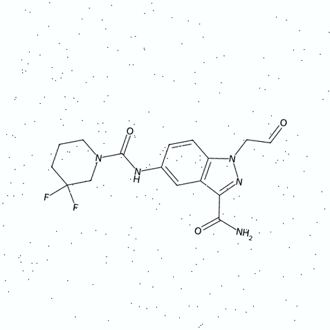 NC(=O)c1nn(CC=O)c2ccc(NC(=O)N3CCCC(F)(F)C3)cc12